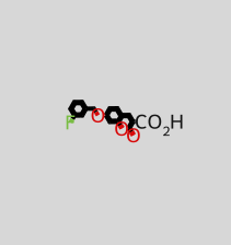 O=C(O)c1cc2ccc(OCc3cccc(F)c3)cc2oc1=O